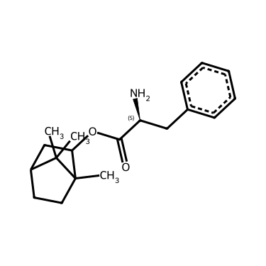 CC1(C)C2CCC1(C)C(OC(=O)[C@@H](N)Cc1ccccc1)C2